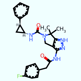 CC1(C)c2[nH]nc(NC(=O)Cc3ccc(F)cc3)c2CN1C(=O)N[C@@H]1C[C@H]1c1ccccc1